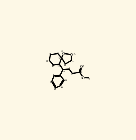 COC(=O)CCC(c1ccccc1)C1CCCCC12CCOO2